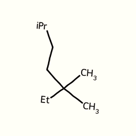 [CH2]C(C)CCC(C)(C)CC